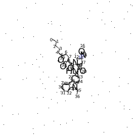 CCCCCc1ccc(C(=O)N2C/C(=N\OC)C[C@H]2C(=O)Nc2ccc3c(c2)c2ccccc2n3CC)c(=O)o1